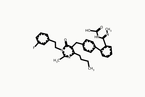 CCCCc1nc(C)n(CCc2cccc(F)c2)c(=O)c1Cc1ccc(-c2ccccc2/C(=N/C)NC(=O)O)cc1